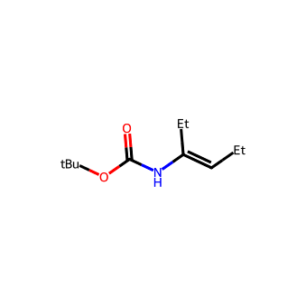 CC/C=C(\CC)NC(=O)OC(C)(C)C